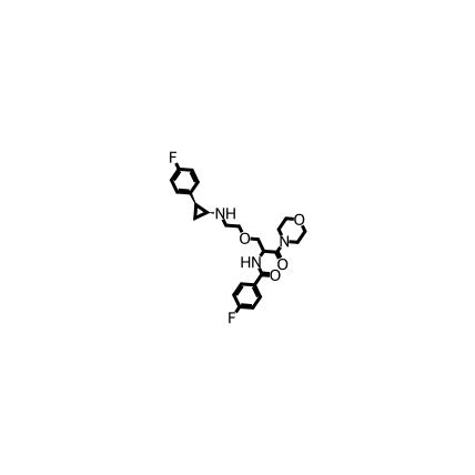 O=C(NC(COCCN[C@@H]1C[C@H]1c1ccc(F)cc1)C(=O)N1CCOCC1)c1ccc(F)cc1